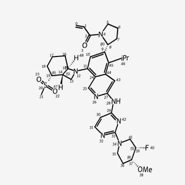 C=CC(=O)N1CCC[C@@H]1c1cc(N2C[C@H]3[C@H]2CCC[C@H]3S(C)(=O)=O)c2cnc(Nc3ccnc(N4CC[C@@H](OC)[C@@H](F)C4)n3)cc2c1C(C)C